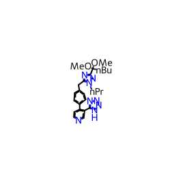 CCCCC(OC)(OC)c1nc(Cc2ccc(-c3ccncc3-c3nnn[nH]3)cc2)n(CCC)n1